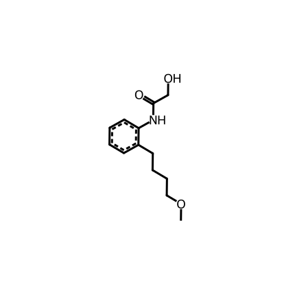 COCCCCc1ccccc1NC(=O)CO